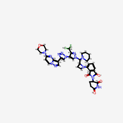 O=C1CCC(N2C(=O)c3cccc(N4CCC4C(N4CCCCC4)n4cc(-n5cc(-c6cnn7ccc(N8CCOCC8)nc67)nn5)c(C(F)F)n4)c3C2=O)C(=O)N1